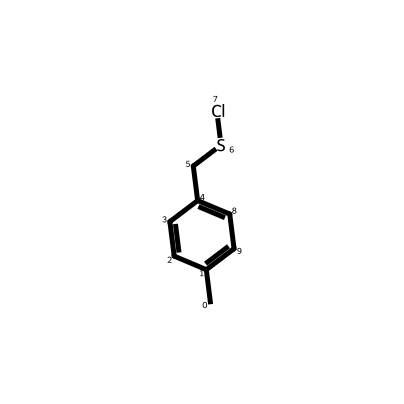 Cc1ccc(CSCl)cc1